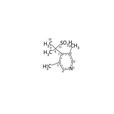 Cc1cncc(C)c1C(C)(C)S(=O)(=O)O